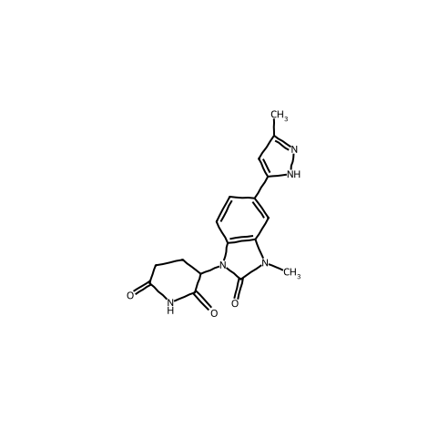 Cc1cc(-c2ccc3c(c2)n(C)c(=O)n3C2CCC(=O)NC2=O)[nH]n1